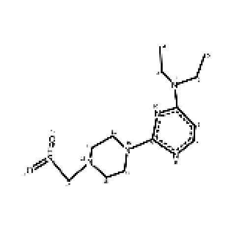 CCN(CC)c1ccnc(N2CCN(C[SH](=O)=O)CC2)n1